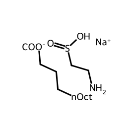 CCCCCCCCCCCC(=O)[O-].NCCS(=O)O.[Na+]